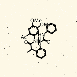 COc1cc(NC(=O)C(C)c2ccccc2NC(=O)Nc2ccccc2)c(C(C)=O)cc1OC